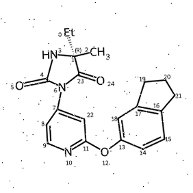 CC[C@@]1(C)NC(=O)N(c2ccnc(Oc3ccc4c(c3)CCC4)c2)C1=O